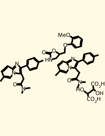 COc1ccccc1OCC1CNC(=O)O1.Cc1ccc(-c2nc3ccc(C)cn3c2CC(=O)N(C)C)cc1.Cc1ccc(-c2nc3ccc(C)cn3c2CC(=O)N(C)C)cc1.O=C(O)C(O)C(O)C(=O)O